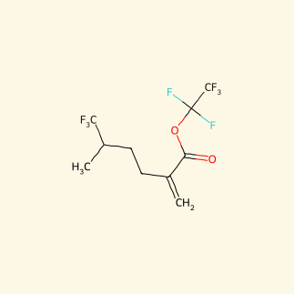 C=C(CCC(C)C(F)(F)F)C(=O)OC(F)(F)C(F)(F)F